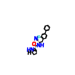 N#C[C@H](Cc1ccc(-c2ccccc2)cc1F)NC(=O)[C@H]1N[C@H]2C=C1CC2